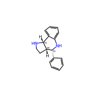 c1ccc([C@H]2Nc3ccccc3[C@H]3NCC[C@@H]23)cc1